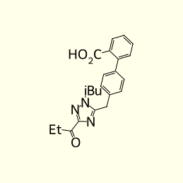 CCC(=O)c1nc(Cc2ccc(-c3ccccc3C(=O)O)cc2)n(C(C)CC)n1